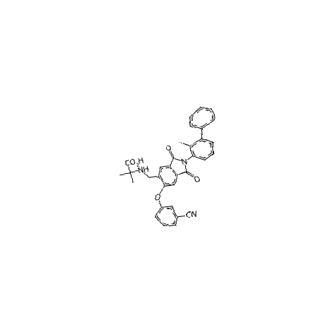 Cc1c(-c2ccccc2)cccc1N1C(=O)c2cc(CNC(C)(C)C(=O)O)c(Oc3cccc(C#N)c3)cc2C1=O